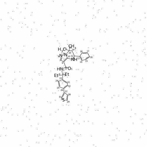 CCC(CC)(NC(=O)c1cnn2c1NC(c1ccccc1)CC2(C)C)c1ccc(-c2ccsc2)cc1